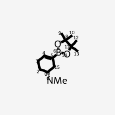 CN[C@@H]1CCC=C(B2OC(C)(C)C(C)(C)O2)C1